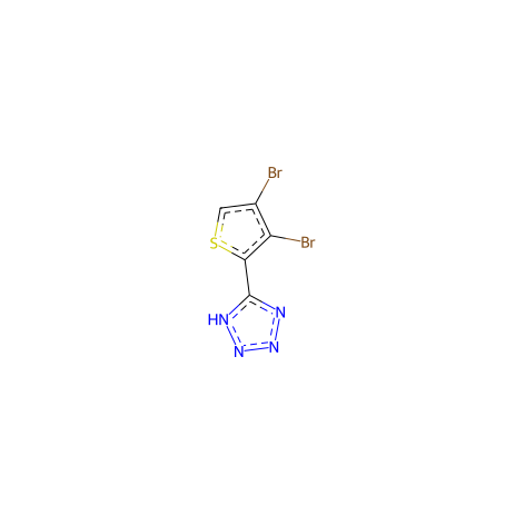 Brc1csc(-c2nnn[nH]2)c1Br